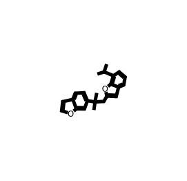 CC(C)c1cccc2cc(CC(C)(C)c3ccc4ccoc4c3)oc12